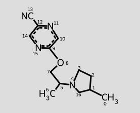 CC1CCN(C(C)COc2cnc(C#N)cn2)C1